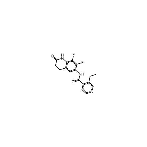 CCc1cnccc1C(=O)Nc1cc2c(c(F)c1F)NC(=O)CC2